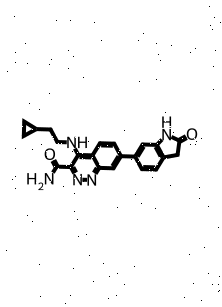 NC(=O)c1nnc2cc(-c3ccc4c(c3)NC(=O)C4)ccc2c1NCCC1CC1